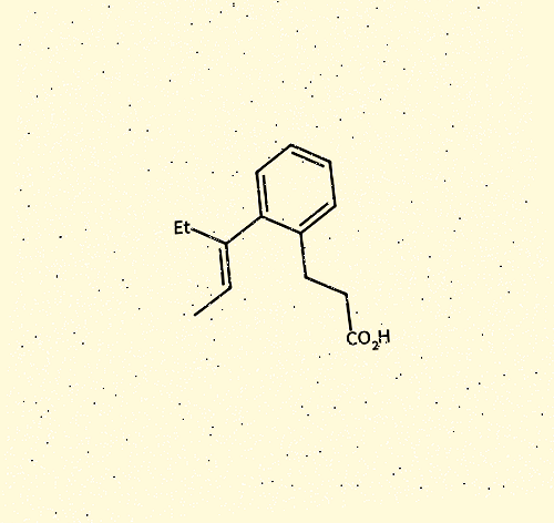 CC=C(CC)c1ccccc1CCC(=O)O